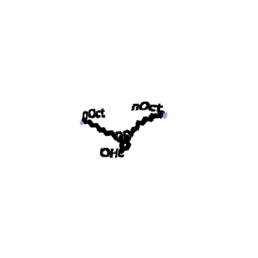 CCCCCCCC/C=C\CCCCCCCCOc1ccc(C=O)cc1OCCCCCCCC/C=C\CCCCCCCC